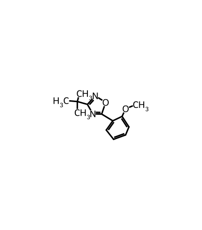 COc1ccccc1-c1nc(C(C)(C)C)no1